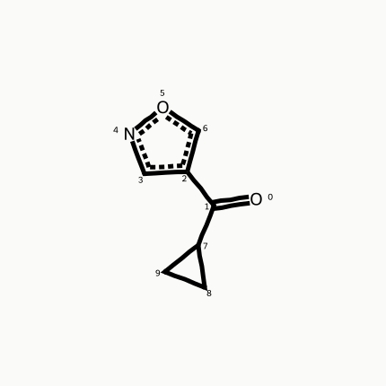 O=C(c1cnoc1)C1CC1